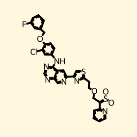 O=S(=O)=C(COCCc1nc(-c2cc3c(Nc4ccc(OCc5cccc(F)c5)c(Cl)c4)ncnc3cn2)cs1)c1ccccn1